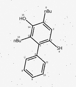 CCCCc1cc(S)c(-c2ccccc2)c(CCCC)c1O